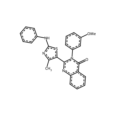 COc1cccc(-n2c(-c3sc(Nc4ccccc4)nc3C)nc3ccccc3c2=O)c1